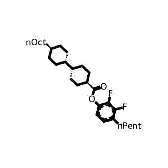 CCCCCCCC[C@H]1CC[C@H]([C@H]2CC[C@H](C(=O)Oc3ccc(CCCCC)c(F)c3F)CC2)CC1